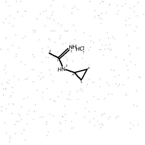 CC(=N)NC1CC1.Cl